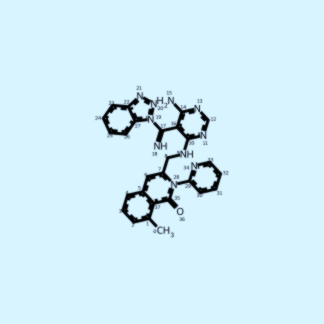 Cc1cccc2cc(CNc3ncnc(N)c3C(=N)n3nnc4ccccc43)n(-c3ccccn3)c(=O)c12